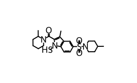 Cc1c(C(=O)N2CCCCC2C)n(S)c2ccc(S(=O)(=O)N3CCC(C)CC3)cc12